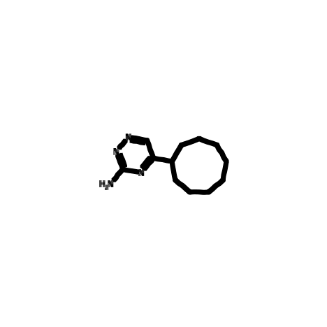 Nc1nncc(C2CCCCCCCC2)n1